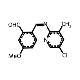 COc1ccc(/C=N\c2ncc(Cl)cc2C)c(C=O)c1